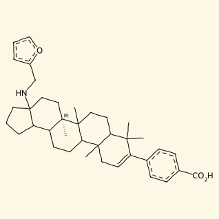 CC1(C)C(c2ccc(C(=O)O)cc2)=CCC2(C)C1CCC1(C)C2CCC2C3CCCC3(NCc3ccco3)CC[C@]21C